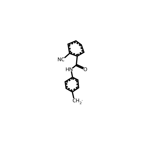 [CH2]c1ccc(NC(=O)c2ccccc2C#N)cc1